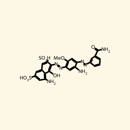 COc1cc(N=Nc2cccc(C(N)=O)c2)c(N)cc1N=Nc1c(S(=O)(=O)O)cc2cc(S(=O)(=O)O)cc(N)c2c1O